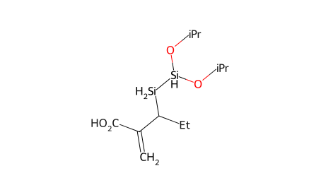 C=C(C(=O)O)C(CC)[SiH2][SiH](OC(C)C)OC(C)C